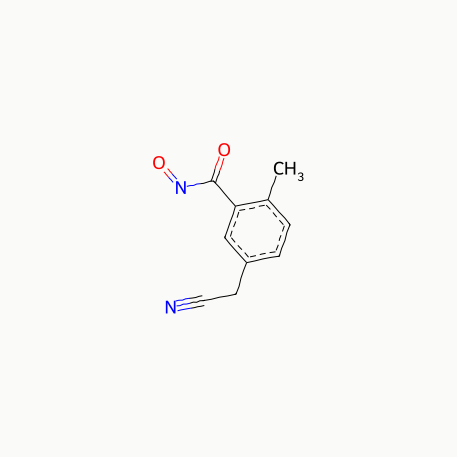 Cc1ccc(CC#N)cc1C(=O)N=O